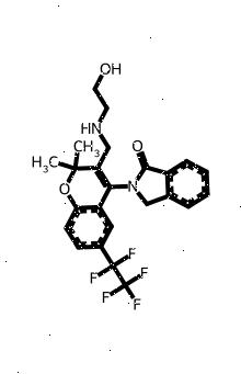 CC1(C)Oc2ccc(C(F)(F)C(F)(F)F)cc2C(N2Cc3ccccc3C2=O)=C1CNCCO